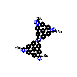 CC(C)(C)c1cc(-c2ccc(-c3ccccc3-c3cc(-c4ccccc4-c4ccc(-c5cnc(-c6ccc(-c7ccccc7-c7cc(-c8ccccc8-c8ccc(-c9cc(C(C)(C)C)ncn9)cc8)cc(-c8ccccc8-c8ccc(-c9cc(C(C)(C)C)ncn9)cc8)c7)cc6)cn5)cc4)cc(-c4ccccc4-c4ccc(-c5cc(C(C)(C)C)ncn5)cc4)c3)cc2)ncn1